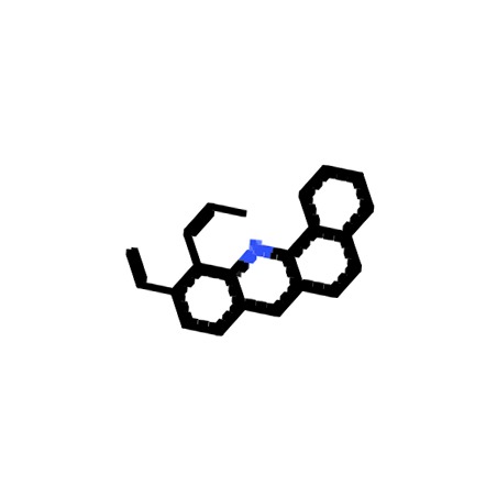 C=Cc1ccc2cc3ccc4ccccc4c3nc2c1/C=C\C